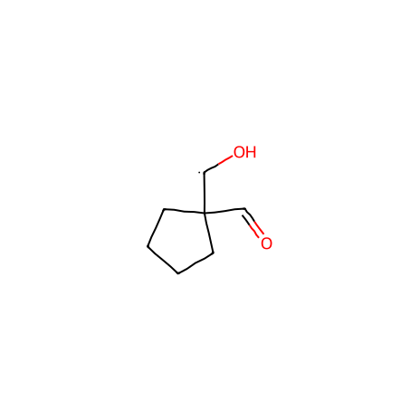 O=CC1([CH]O)CCCC1